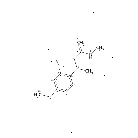 C=C(CC(C)c1ccc(CC)cc1N)NC